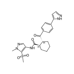 Cn1ncc(NC(=O)[C@@H]2CCCC[C@H]2C(=O)c2ccc(-c3ccn[nH]3)cc2)c1S(C)(=O)=O